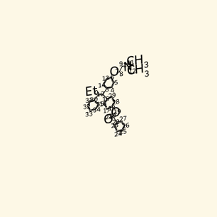 CC/C(=C(\c1ccc(OCCN(C)C)cc1)c1ccc(OC(=O)c2ccccc2)cc1)c1ccccc1